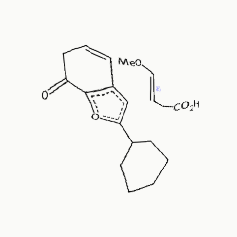 CO/C=C/C(=O)O.O=C1CC=Cc2cc(C3CCCCC3)oc21